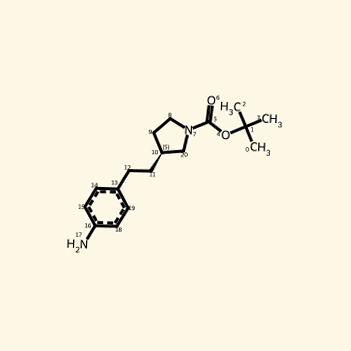 CC(C)(C)OC(=O)N1CC[C@H](CCc2ccc(N)cc2)C1